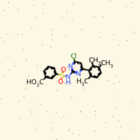 Cc1ccc(C)c(-c2cc(Cl)nc(NS(=O)(=O)c3cccc(C(=O)O)c3)n2)c1C